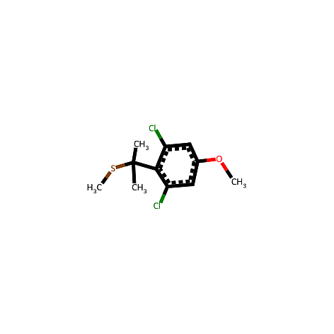 COc1cc(Cl)c(C(C)(C)SC)c(Cl)c1